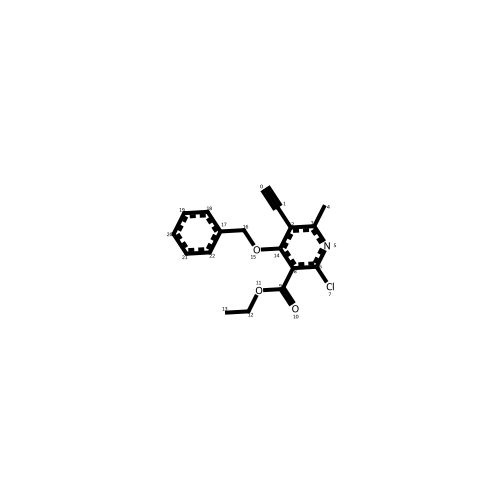 C#Cc1c(C)nc(Cl)c(C(=O)OCC)c1OCc1ccccc1